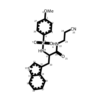 COc1ccc(S(=O)(=O)NC(Cc2csc3ccccc23)C(=O)NCCC#N)cc1